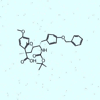 COc1ccc([C@@](C)(C[C@H](O)[C@H](Cc2ccc(OCc3ccccc3)cc2)NC(=O)OC(C)(C)C)C(=O)O)cc1